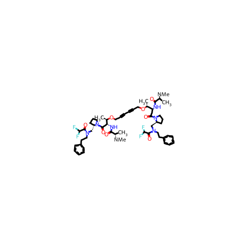 CN[C@@H](C)C(=O)N[C@H](C(=O)N1CCC[C@H]1CN(CCc1ccccc1)C(=O)C(F)F)[C@@H](C)OCC#CC#CCO[C@H](C)[C@H](NC(=O)[C@H](C)NC)C(=O)N1CCC[C@H]1CN(CCc1ccccc1)C(=O)C(F)F